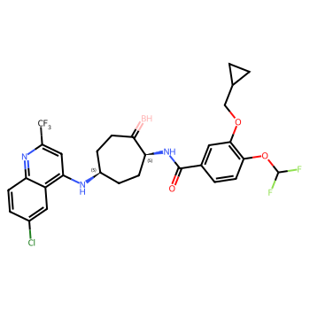 B=C1CC[C@H](Nc2cc(C(F)(F)F)nc3ccc(Cl)cc23)CC[C@@H]1NC(=O)c1ccc(OC(F)F)c(OCC2CC2)c1